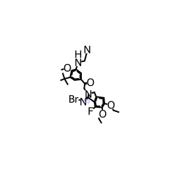 CCOc1cc2c(c(F)c1OCC)/C(=N/Br)N(CC(=O)c1cc(NCC#N)c(OC)c(C(C)(C)C)c1)C2